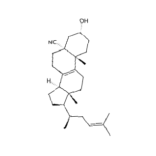 CC(C)=CC[C@@H](C)[C@H]1CC[C@H]2C3=C(CC[C@]12C)[C@@]1(C)CC[C@@H](O)C[C@]1(C#N)CC3